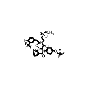 CCS(=O)(=O)CCN(C(=O)Cc1ccc(F)c(C(F)(F)F)c1)C(C)c1nc2ncccc2c(=O)n1-c1ccc(OCC(F)(F)F)cc1